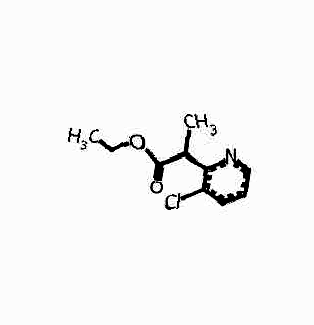 CCOC(=O)C(C)c1ncccc1Cl